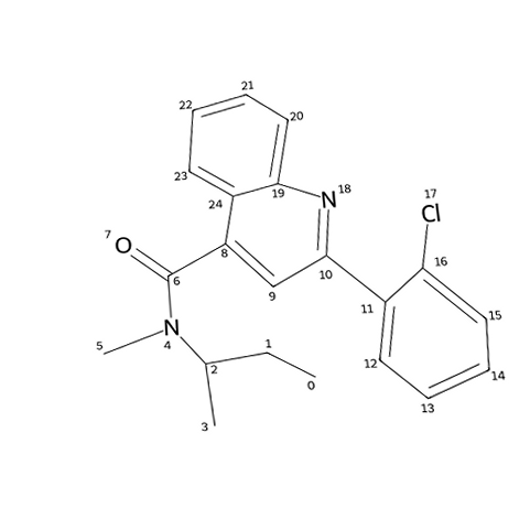 CCC(C)N(C)C(=O)c1cc(-c2ccccc2Cl)nc2ccccc12